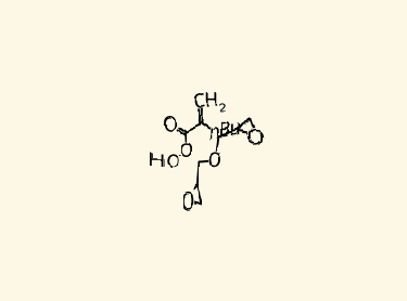 C(OCC1CO1)C1CO1.C=C(CCCC)C(=O)OO